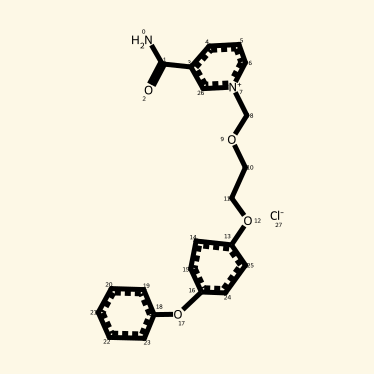 NC(=O)c1ccc[n+](COCCOc2ccc(Oc3ccccc3)cc2)c1.[Cl-]